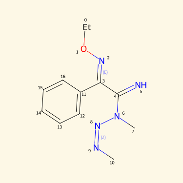 CCO/N=C(/C(=N)N(C)/N=N\C)c1ccccc1